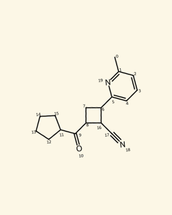 Cc1cccc(C2CC(C(=O)C3CCCC3)C2C#N)n1